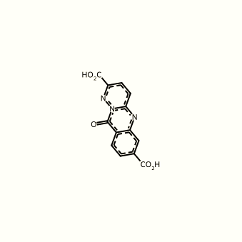 O=C(O)c1ccc2c(=O)n3nc(C(=O)O)ccc3nc2c1